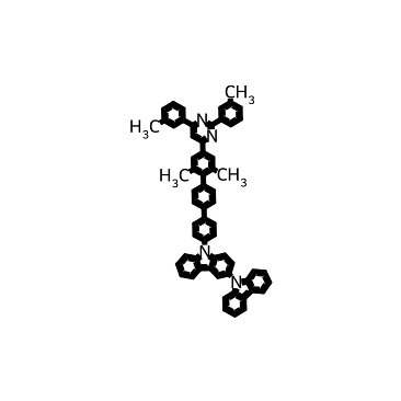 Cc1cccc(-c2cc(-c3cc(C)c(-c4ccc(-c5ccc(-n6c7ccccc7c7cc(-n8c9ccccc9c9ccccc98)ccc76)cc5)cc4)c(C)c3)nc(-c3cccc(C)c3)n2)c1